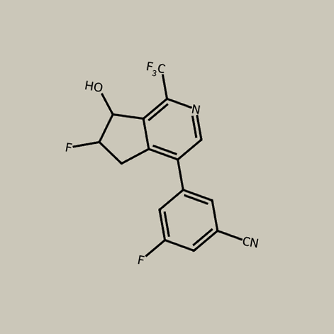 N#Cc1cc(F)cc(-c2cnc(C(F)(F)F)c3c2CC(F)C3O)c1